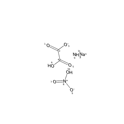 N.O=C([O-])C(=O)O.O=[N+]([O-])O.[Na+]